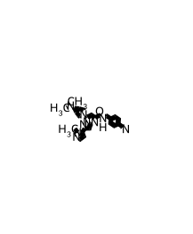 CN(C)C1C2CN(c3cc(C(=O)NCc4ccc(C#N)cc4)nc4cc(-c5ccnn5C)nn34)CC21